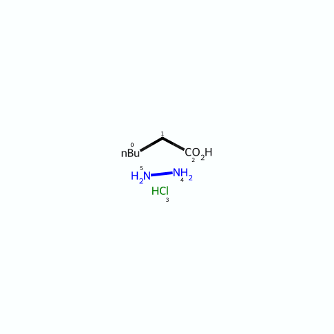 CCCCCC(=O)O.Cl.NN